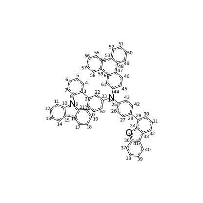 c1cc(-c2ccccc2-n2c3ccccc3c3ccccc32)cc(N(c2ccc(-c3cccc4c3oc3ccccc34)cc2)c2ccc3c4ccccc4c4ccccc4c3c2)c1